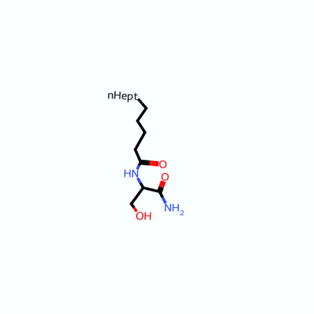 CCCCCCCCCCCC(=O)NC(CO)C(N)=O